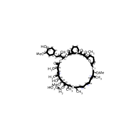 CO[C@H]1C[C@@H]2CC[C@@H](C)[C@@](O)(O2)C(=O)C(=O)N2CCCC[C@H]2C(=O)O[C@H]([C@H](C)C[C@@H]2CC[C@@H](O)[C@H](OC)C2)CC(=O)[C@H](C)/C=C(\C)[C@@H](O)[C@@H](OC)C(=O)[C@H](C)C[C@H](C)/C=C/C=C/C=C/1C.NC(=O)O